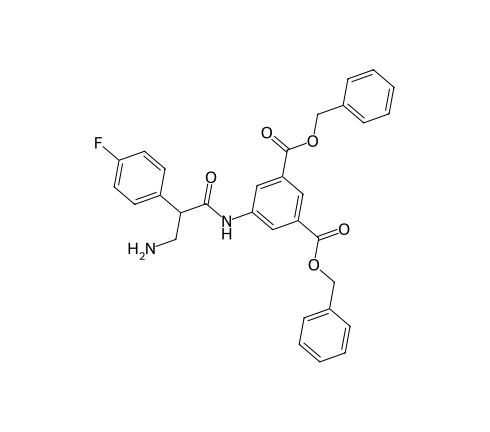 NCC(C(=O)Nc1cc(C(=O)OCc2ccccc2)cc(C(=O)OCc2ccccc2)c1)c1ccc(F)cc1